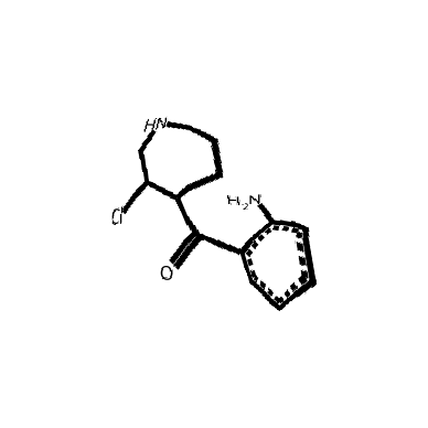 Nc1ccccc1C(=O)C1CCNCC1Cl